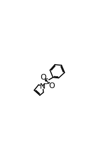 O=S(=O)(c1ccccc1)N1CC=CC1